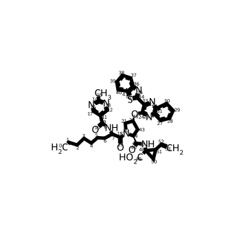 C=CCCCCCC(NC(=O)c1cnc(C)nc1)C(=O)N1C[C@H](Oc2nc3ccccc3nc2-c2nc3ccccc3s2)C[C@H]1C(=O)NC1(C(=O)O)CC1C=C